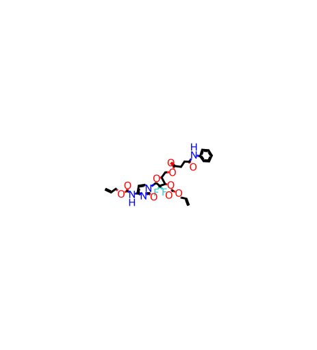 C=CCOC(=O)Nc1ccn(C2OC(COC(=O)CCC(=O)Nc3ccccc3)C(OC(=O)OCC=C)C2(F)F)c(=O)n1